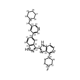 CN1CCN(c2nccc3[nH]c(-c4n[nH]c5ccc(-c6cncc(CN7CCCCC7)c6)cc45)nc23)CC1